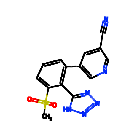 CS(=O)(=O)c1cccc(-c2cncc(C#N)c2)c1-c1nnn[nH]1